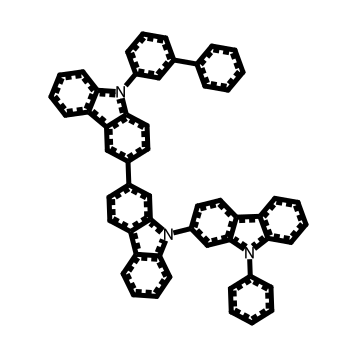 c1ccc(-c2cccc(-n3c4ccccc4c4cc(-c5ccc6c7ccccc7n(-c7ccc8c9ccccc9n(-c9ccccc9)c8c7)c6c5)ccc43)c2)cc1